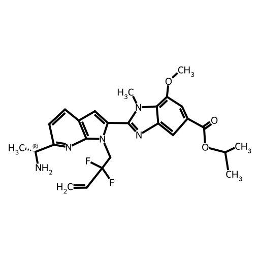 C=CC(F)(F)Cn1c(-c2nc3cc(C(=O)OC(C)C)cc(OC)c3n2C)cc2ccc([C@@H](C)N)nc21